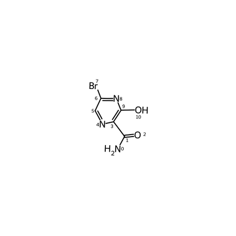 NC(=O)c1ncc(Br)nc1O